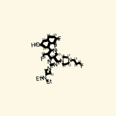 CCN(CC)C1CN(c2nc(N3CCN(CCCF)CC3)c3cnc(-c4cc(O)cc5ccc(F)c(F)c45)c(CF)c3n2)C1